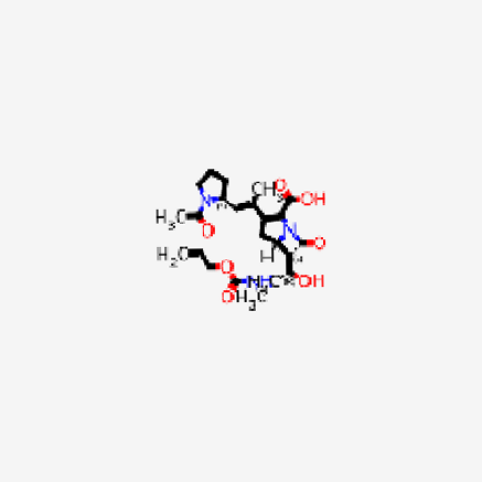 C=CCOC(=O)NC.CC(=O)N1CCC[C@H]1C=C(C)C1=C(C(=O)O)N2C(=O)[C@H]([C@@H](C)O)[C@H]2C1